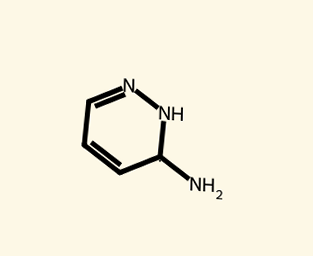 N[C]1C=CC=NN1